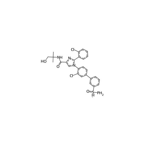 CC(C)(CO)NC(=O)c1cn(-c2ccc(-c3cccc([SH](C)(=O)P)c3)cc2Cl)c(-c2ccccc2Cl)n1